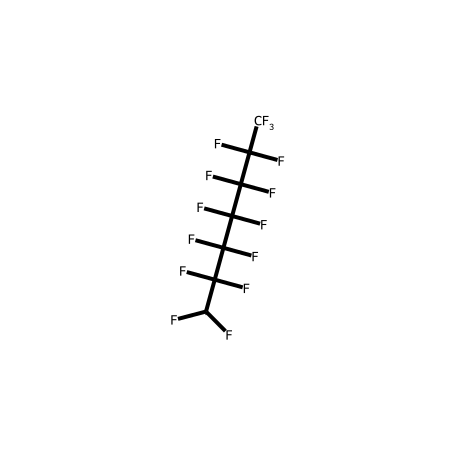 F[C](F)C(F)(F)C(F)(F)C(F)(F)C(F)(F)C(F)(F)C(F)(F)F